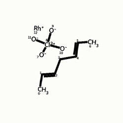 C/C=C/C/C=C/C.[O-][Cl+3]([O-])([O-])[O-].[Rh+]